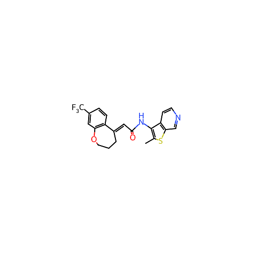 Cc1sc2cnccc2c1NC(=O)/C=C1\CCCOc2cc(C(F)(F)F)ccc21